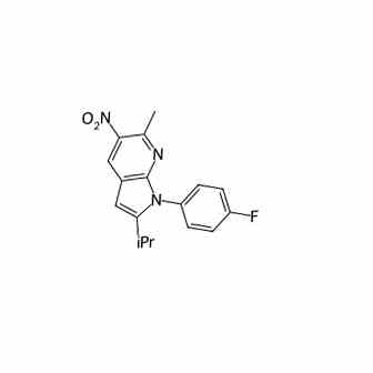 Cc1nc2c(cc1[N+](=O)[O-])cc(C(C)C)n2-c1ccc(F)cc1